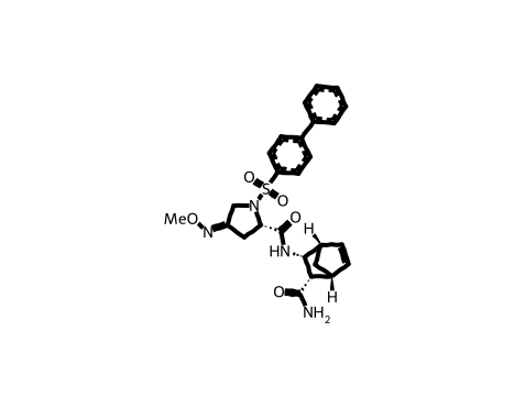 CON=C1C[C@@H](C(=O)N[C@H]2[C@@H](C(N)=O)[C@H]3C=C[C@@H]2C3)N(S(=O)(=O)c2ccc(-c3ccccc3)cc2)C1